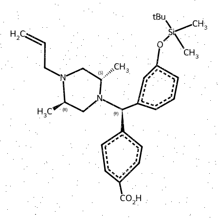 C=CCN1C[C@H](C)N([C@H](c2ccc(C(=O)O)cc2)c2cccc(O[Si](C)(C)C(C)(C)C)c2)C[C@H]1C